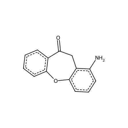 Nc1cccc2c1CC(=O)c1ccccc1O2